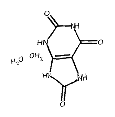 O.O.O=c1[nH]c(=O)c2[nH]c(=O)[nH]c2[nH]1